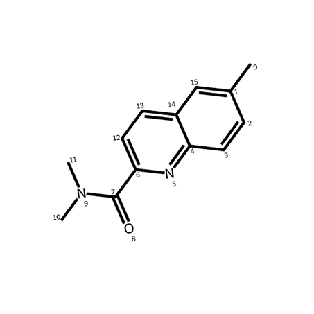 Cc1ccc2nc(C(=O)N(C)C)ccc2c1